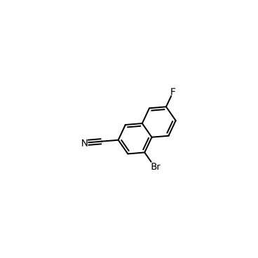 N#Cc1cc(Br)c2ccc(F)cc2c1